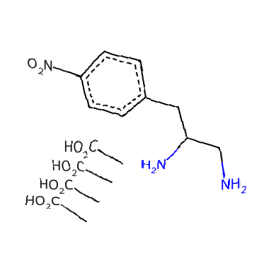 CC(=O)O.CC(=O)O.CC(=O)O.CC(=O)O.NCC(N)Cc1ccc([N+](=O)[O-])cc1